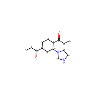 CCC(=O)C1CCC(C(=O)CC)C(N2CCNC2)C1